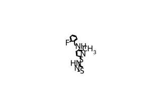 Cc1nc(SNc2cscn2)ccc1NCc1ccccc1F